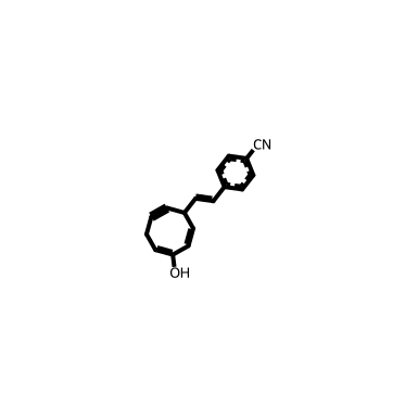 N#Cc1ccc(/C=C/C2C#CC/C=C(O)\C=C/2)cc1